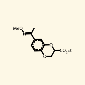 CCOC(=O)C1COc2ccc(C(C)=NOC)cc2O1